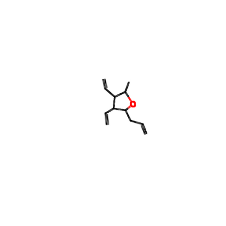 C=CCC1OC(C)C(C=C)C1C=C